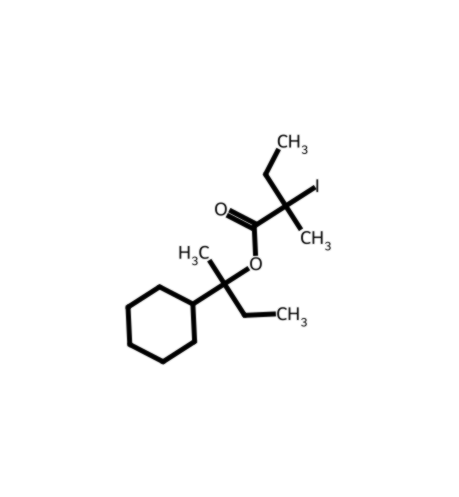 CCC(C)(I)C(=O)OC(C)(CC)C1CCCCC1